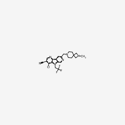 CN1CC2(CCN(Cc3cc4c5ncc(C#N)c(Cl)c5n(CC(F)(F)F)c4cn3)CC2)C1